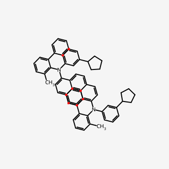 Cc1cccc(-c2ccccc2)c1N(c1cccc(C2CCCC2)c1)c1ccc2ccc3c(N(c4cccc(C5CCCC5)c4)c4c(C)cccc4-c4ccccc4)ccc4ccc1c2c43